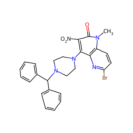 Cn1c(=O)c([N+](=O)[O-])c(N2CCN(C(c3ccccc3)c3ccccc3)CC2)c2nc(Br)ccc21